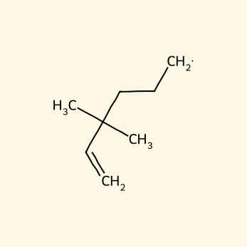 [CH2]CCC(C)(C)C=C